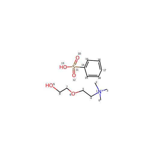 C[N+](C)(C)CCOCCO.O=S(=O)(O)c1ccccc1